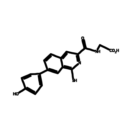 O=C(O)CNC(=O)c1cc2ccc(-c3ccc(O)cc3)cc2c(S)n1